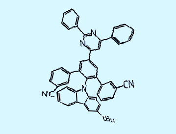 CC(C)(C)c1ccc2c(c1)c1ccccc1n2-c1c(-c2cccc(C#N)c2)cc(-c2cc(-c3ccccc3)nc(-c3ccccc3)n2)cc1-c1cccc(C#N)c1